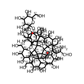 CC(=O)N[C@]1(C2(O)OC(CO)C(O)C(O)C2O)[C@@](O[C@@H]([C@H](O)[C@@H](N)C=O)[C@H](O)CO)(C2(O)OC(CO)C(O)C(O)C2O)O[C@@](CO)(C2(O)OC(CO)C(O)C(O)C2O)[C@](O[C@@H]2O[C@H](CO)[C@@H](OC3(O)OC(CO)C(O)C(O)C3O)[C@H](O)[C@H]2N)(C2(O)OC(CO)C(O)C(O)C2O)[C@@]1(O)C1(O)OC(CO)C(O)C(O)C1O